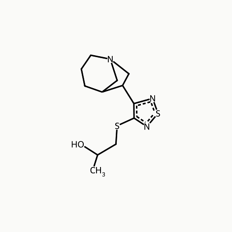 CC(O)CSc1nsnc1C1CN2CCCC1C2